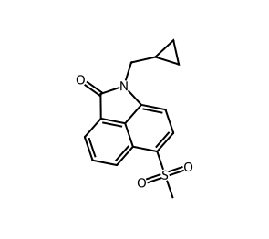 CS(=O)(=O)c1ccc2c3c(cccc13)C(=O)N2CC1CC1